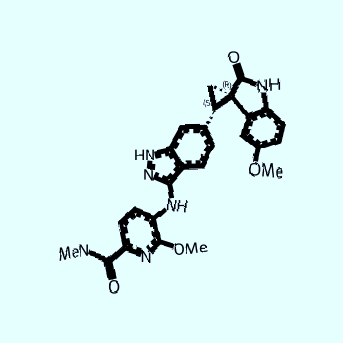 CNC(=O)c1ccc(Nc2n[nH]c3cc([C@@H]4C[C@@]45C(=O)Nc4ccc(OC)cc45)ccc23)c(OC)n1